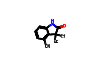 CCC1(CC)C(=O)Nc2cccc(C#N)c21